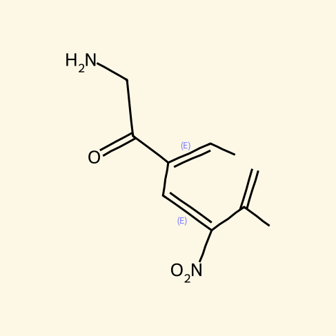 C=C(C)/C(=C\C(=C/C)C(=O)CN)[N+](=O)[O-]